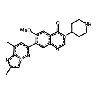 COc1cc2c(=O)n(C3CCNCC3)cnc2cc1-c1cc(C)c2nc(C)cn2n1